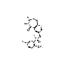 COc1ccc(Cl)cc1S(=O)(=O)Nc1cnc2c(c1)C(=O)N(C)[C@@H](C)CO2